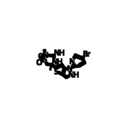 CN1C(=N)N[C@](C)(c2cc3c(s2)CNN3c2ccc(Br)cn2)CS1(=O)=O